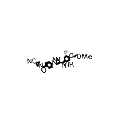 COCCOc1cc2[nH]nc(-c3cn(-c4ccc(C(=O)N5CC(C#N)C5)cc4)nn3)c2cc1F